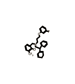 Fc1cccc(OCCCN(Cc2cccc(C(F)(F)F)c2Cl)CC(C2=CCCC=C2)c2ccccc2)c1